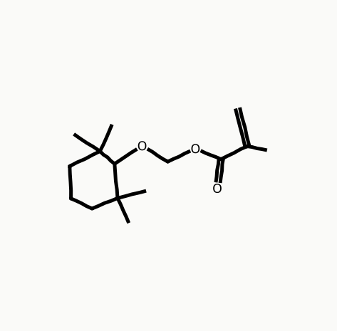 C=C(C)C(=O)OCOC1C(C)(C)CCCC1(C)C